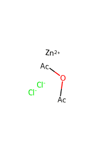 CC(=O)OC(C)=O.[Cl-].[Cl-].[Zn+2]